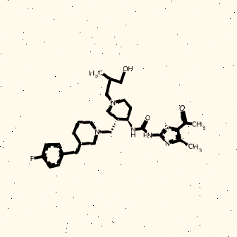 CC(=O)c1sc(NC(=O)N[C@@H]2CCN(CC(C)CO)C[C@H]2CN2CCCC(Cc3ccc(F)cc3)C2)nc1C